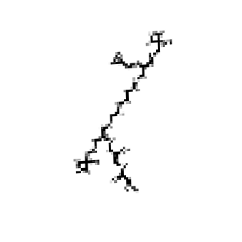 C=CC(=O)OCC(O)COC(COCCCCCCOCC(COCC1(CC)COC1)OCC1CO1)COCC1(CC)COC1